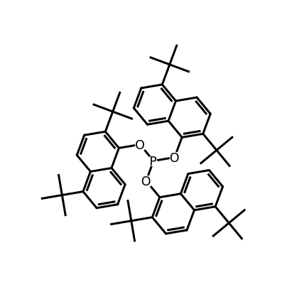 CC(C)(C)c1ccc2c(C(C)(C)C)cccc2c1OP(Oc1c(C(C)(C)C)ccc2c(C(C)(C)C)cccc12)Oc1c(C(C)(C)C)ccc2c(C(C)(C)C)cccc12